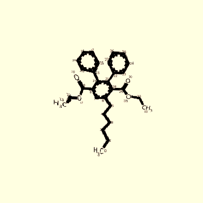 CCCCCCc1cc(C(=O)OCC)c(-c2ccccc2)c(-c2ccccc2)c1C(=O)OCC